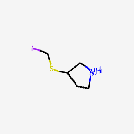 ICSC1CCNC1